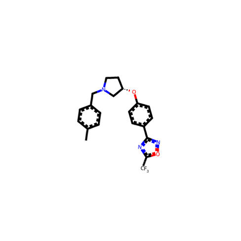 Cc1ccc(CN2CC[C@H](Oc3ccc(-c4noc(C(F)(F)F)n4)cc3)C2)cc1